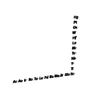 [Ac].[Au].[Hf].[Hg].[Ir].[La].[Lu].[Mn].[Mo].[Nb].[Os].[Pd].[Pt].[Re].[Rh].[Ru].[Sc].[Ta].[Tc].[Ti].[W].[Y].[Zr]